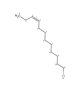 CC/C=C\CCCCCCCCCl